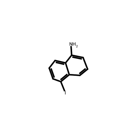 Nc1cccc2c(I)cccc12